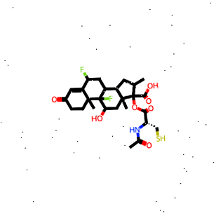 CC(=O)N[C@@H](CS)C(=O)OC1(C(=O)O)C(C)CC2C3CC(F)C4=CC(=O)CCC4(C)C3(F)C(O)CC21C